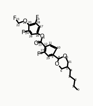 CCCCCC1COC(c2ccc(C(=O)Oc3cc(F)c(OCF)c(F)c3)c(F)c2)OC1